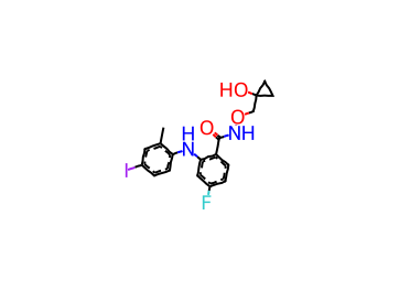 Cc1cc(I)ccc1Nc1cc(F)ccc1C(=O)NOCC1(O)CC1